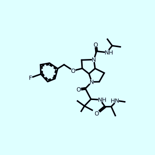 CNC(C)C(=O)NC(C(=O)N1CCC2C1C(OCc1ccc(F)cc1)CN2C(=O)NC(C)C)C(C)(C)C